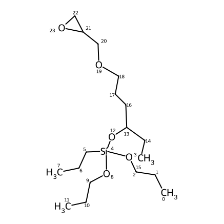 CCCO[Si](CCC)(OCCC)OC(CC)CCCOCC1CO1